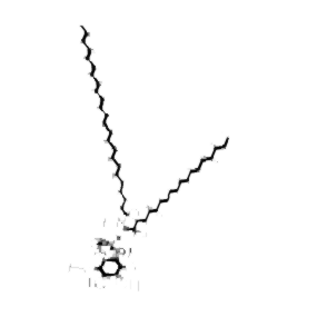 CCCCCCCCCCCCCCCCCCCCCCCC(=O)N[C@@H](COP(=O)(O)OC1[C@H](O)[C@H](O)C(O)[C@H](O)[C@H]1O)[C@H](O)CCCCCCCCCCCCCCCCC